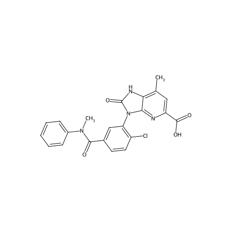 Cc1cc(C(=O)O)nc2c1[nH]c(=O)n2-c1cc(C(=O)N(C)c2ccccc2)ccc1Cl